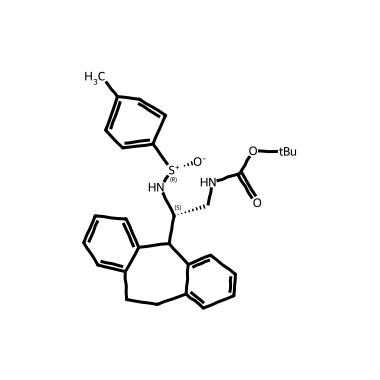 Cc1ccc([S@+]([O-])N[C@H](CNC(=O)OC(C)(C)C)C2c3ccccc3CCc3ccccc32)cc1